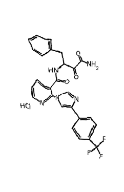 Cl.NC(=O)C(=O)C(Cc1ccccc1)NC(=O)c1cccnc1-n1cnc(-c2ccc(C(F)(F)F)cc2)c1